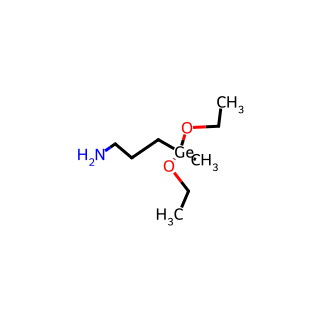 CC[O][Ge]([CH3])([CH2]CCN)[O]CC